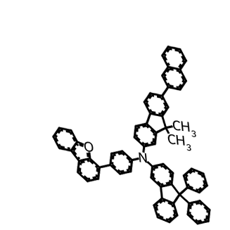 CC1(C)c2cc(-c3ccc4ccccc4c3)ccc2-c2ccc(N(c3ccc(-c4cccc5c4oc4ccccc45)cc3)c3ccc4c(c3)-c3ccccc3C4(c3ccccc3)c3ccccc3)cc21